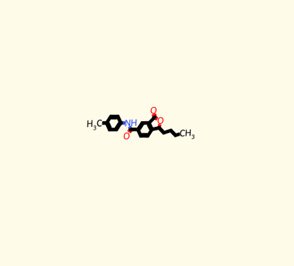 CCCCC1OC(=O)c2cc(C(=O)Nc3ccc(C)cc3)ccc21